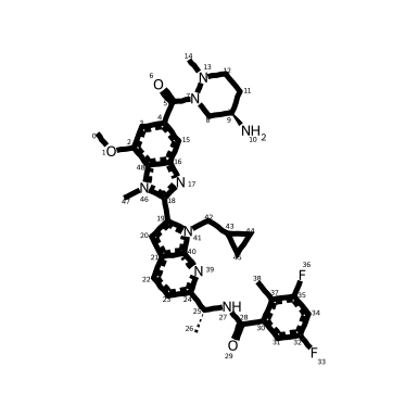 COc1cc(C(=O)N2C[C@H](N)CCN2C)cc2nc(-c3cc4ccc([C@@H](C)NC(=O)c5cc(F)cc(F)c5C)nc4n3CC3CC3)n(C)c12